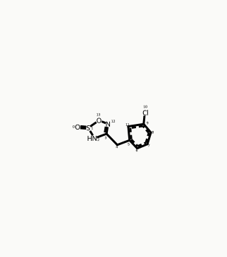 O=S1NC(Cc2cccc(Cl)c2)=NO1